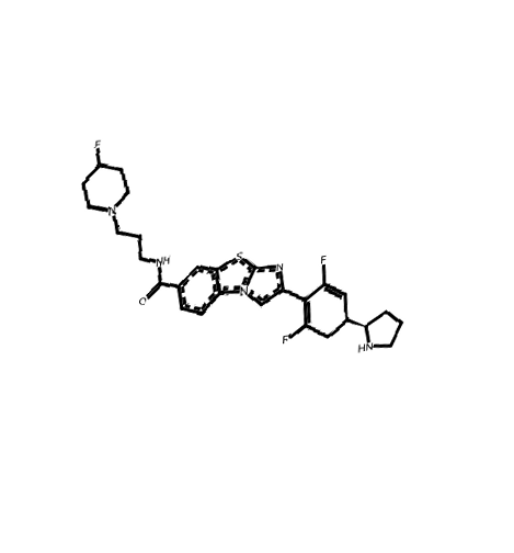 O=C(NCCCN1CCC(F)CC1)c1ccc2c(c1)sc1nc(C3=C(F)CC([C@H]4CCCN4)C=C3F)cn12